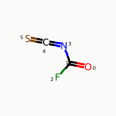 O=C(F)N=C=S